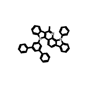 Cc1nc2c(ccc3c4ccccc4n(-c4ccccc4)c32)c2c1c1ccccc1n2-c1cc(-c2ccccc2)cc(-c2ccccc2)c1